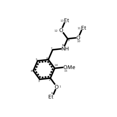 CCOc1cccc(CNC(OCC)OCC)c1OC